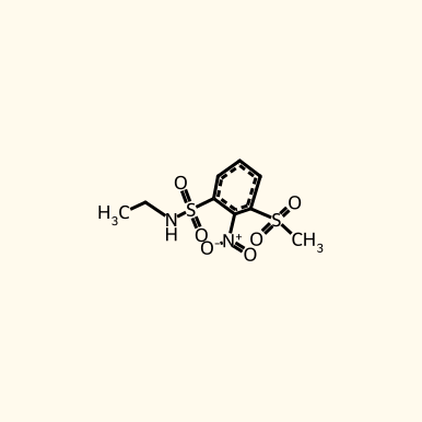 CCNS(=O)(=O)c1cccc(S(C)(=O)=O)c1[N+](=O)[O-]